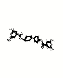 O=C(Oc1ccc(-c2ccc(OC(=O)c3cc(O)nc(O)c3)cc2)cc1)c1cc(O)nc(O)c1